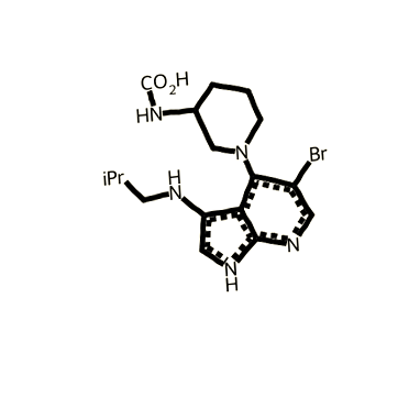 CC(C)CNc1c[nH]c2ncc(Br)c(N3CCCC(NC(=O)O)C3)c12